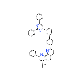 CC(C)(C)c1cc(-c2ccccc2)nc2c1ccc1ccc(-c3ccc(-c4cccc(-c5cc(-c6ccccc6)nc(-c6ccccc6)n5)c4)cc3)nc12